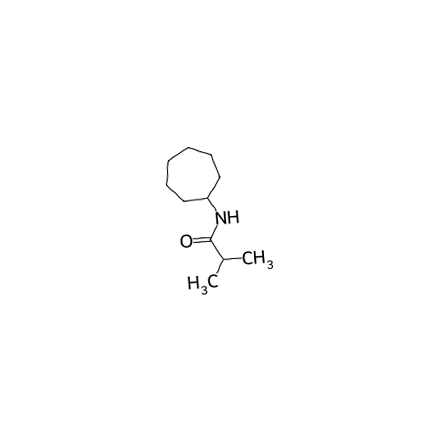 CC(C)C(=O)NC1CCCCCC1